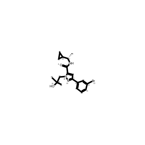 C[C@H](NC(=O)c1cc(-c2cccc(Br)c2)nn1CC(C)(C)O)C1CC1